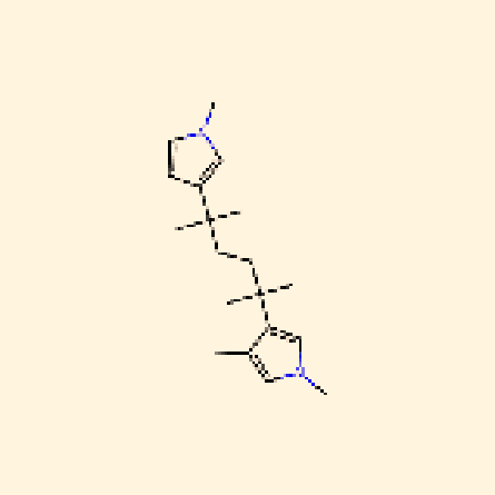 Cc1cn(C)cc1C(C)(C)CCC(C)(C)c1ccn(C)c1